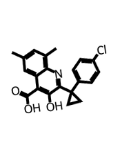 Cc1cc(C)c2nc(C3(c4ccc(Cl)cc4)CC3)c(O)c(C(=O)O)c2c1